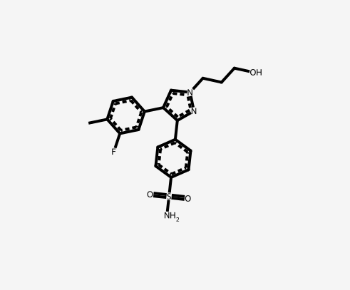 Cc1ccc(-c2cn(CCCO)nc2-c2ccc(S(N)(=O)=O)cc2)cc1F